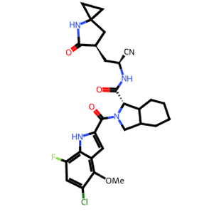 COc1c(Cl)cc(F)c2[nH]c(C(=O)N3CC4CCCCC4[C@H]3C(=O)N[C@H](C#N)C[C@@H]3CC4(CC4)NC3=O)cc12